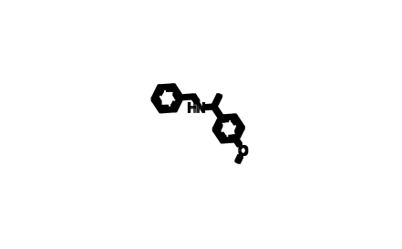 COc1ccc(C(C)NCc2ccccc2)cc1